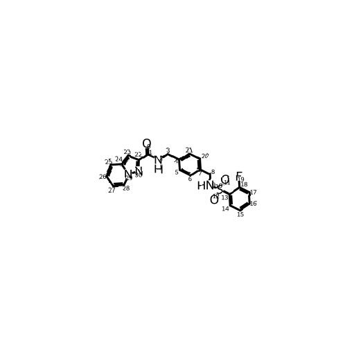 O=C(NCc1ccc(CNS(=O)(=O)c2ccccc2F)cc1)c1cc2ccccn2n1